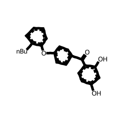 CCCCc1ccccc1Oc1ccc(C(=O)c2ccc(O)cc2O)cc1